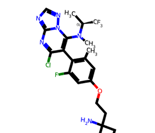 Cc1cc(OCCC2(N)COC2)cc(F)c1-c1c(Cl)nc2ncnn2c1N(C)[C@@H](C)C(F)(F)F